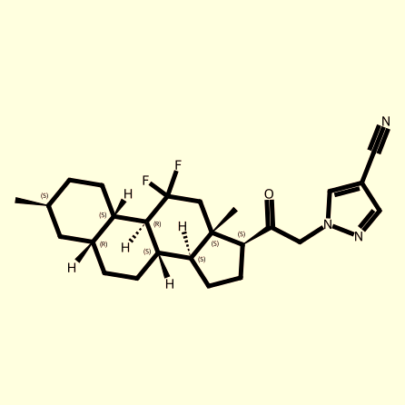 C[C@H]1CC[C@H]2[C@H](CC[C@@H]3[C@@H]2C(F)(F)C[C@]2(C)[C@@H](C(=O)Cn4cc(C#N)cn4)CC[C@@H]32)C1